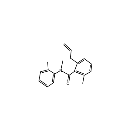 C=CCc1cccc(C)c1C(=O)N(C)c1ccccc1C